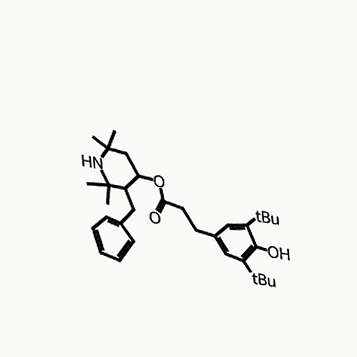 CC1(C)CC(OC(=O)CCc2cc(C(C)(C)C)c(O)c(C(C)(C)C)c2)C(Cc2ccccc2)C(C)(C)N1